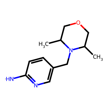 CC1COCC(C)N1Cc1ccc([NH])nc1